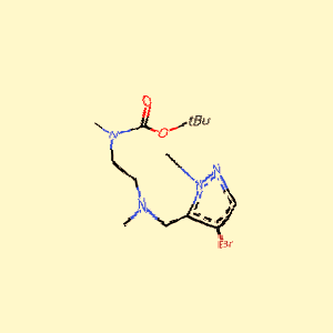 CN(CCN(C)C(=O)OC(C)(C)C)Cc1c(Br)cnn1C